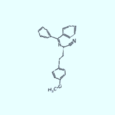 COc1ccc(CCC(C#N)N=C(c2ccccc2)c2ccccc2)cc1